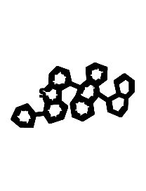 C1=CC2C=CC=C(c3c4ccccc4c(-c4cccc5sc6c(-c7ccccc7)cccc6c45)c4ccccc34)C2C=C1